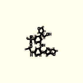 CC(=O)Nc1cc(Nc2cc(C3(CO)CCOC3)cc(S(C)(=O)=O)n2)c(-c2cc3n(n2)CCO3)cn1